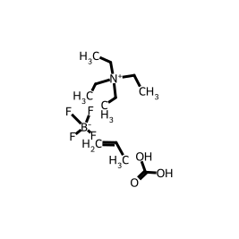 C=CC.CC[N+](CC)(CC)CC.F[B-](F)(F)F.O=C(O)O